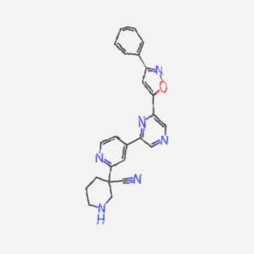 N#CC1(c2cc(-c3cncc(-c4cc(-c5ccccc5)no4)n3)ccn2)CCCNC1